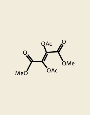 COC(=O)/C(OC(C)=O)=C(\OC(C)=O)C(=O)OC